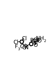 NS(=O)(=O)CS(=O)(=O)c1ccc(C2=NOC(c3cc(Cl)cc(Cl)c3)(C(F)(F)F)C2)cc1Br